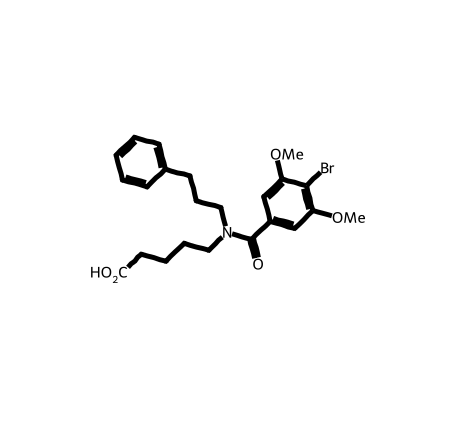 COc1cc(C(=O)N(CCCCC(=O)O)CCCc2ccccc2)cc(OC)c1Br